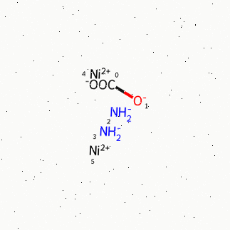 O=C([O-])[O-].[NH2-].[NH2-].[Ni+2].[Ni+2]